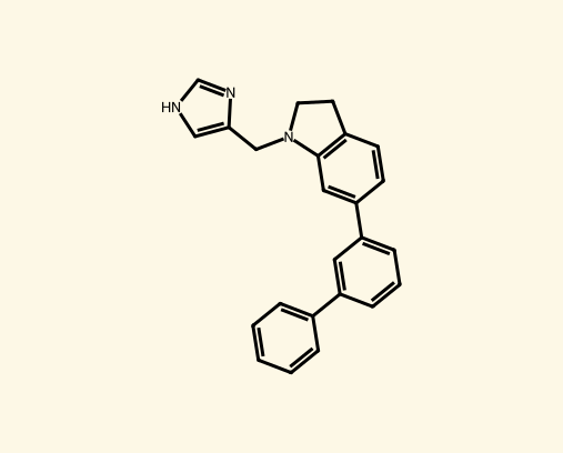 c1ccc(-c2cccc(-c3ccc4c(c3)N(Cc3c[nH]cn3)CC4)c2)cc1